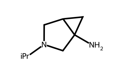 CC(C)N1CC2CC2(N)C1